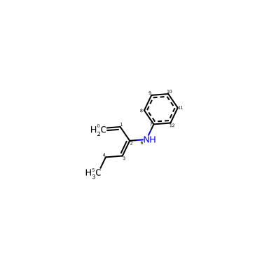 C=C/C(=C\CC)Nc1ccccc1